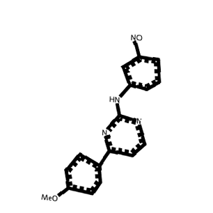 COc1ccc(-c2ccnc(Nc3cccc(N=O)c3)n2)cc1